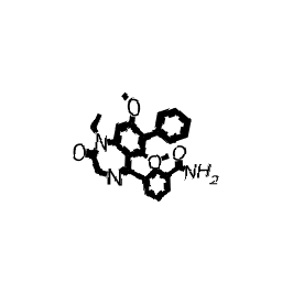 CCN1C(=O)CN=C(c2cccc(C(N)=O)c2)c2c1cc(OC)c(-c1ccccc1)c2OC